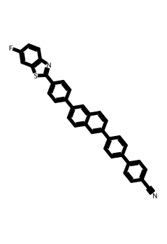 N#Cc1ccc(-c2ccc(-c3ccc4cc(-c5ccc(-c6nc7ccc(F)cc7s6)cc5)ccc4c3)cc2)cc1